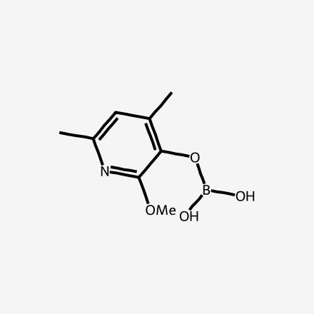 COc1nc(C)cc(C)c1OB(O)O